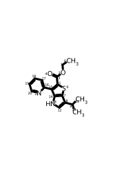 CCOC(=O)c1sc2c(C(C)C)c[nH]c2c1-c1ccccn1